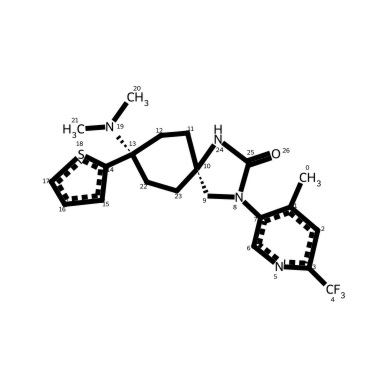 Cc1cc(C(F)(F)F)ncc1N1C[C@]2(CC[C@@](c3cccs3)(N(C)C)CC2)NC1=O